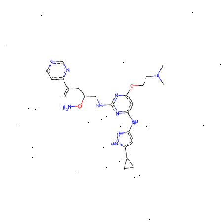 C=C(CC(CNc1nc(Nc2cc(C3CC3)[nH]n2)cc(OCCN(C)C)n1)ON)c1ccncn1